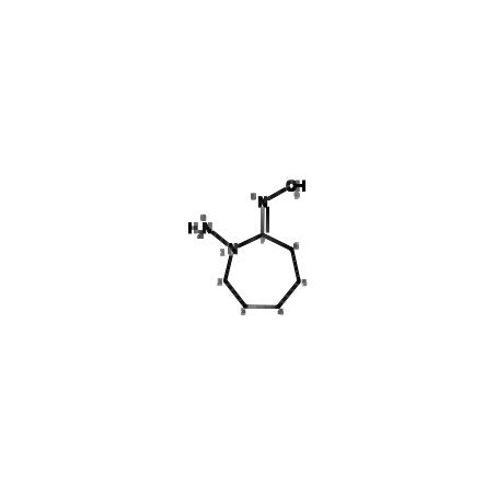 NN1CCCCC/C1=N\O